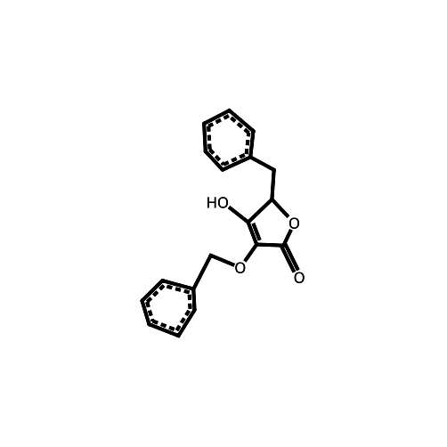 O=C1OC(Cc2ccccc2)C(O)=C1OCc1ccccc1